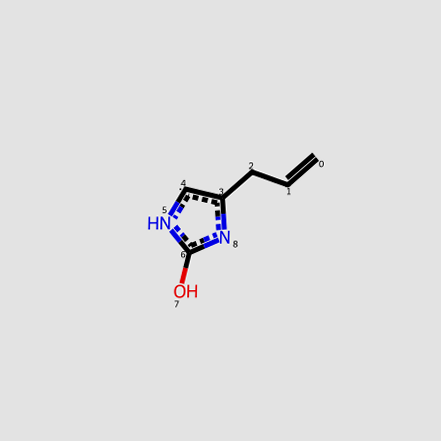 C=CCc1[c][nH]c(O)n1